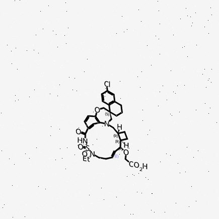 CCN1CC/C=C/[C@H](OCC(=O)O)[C@@H]2CC[C@H]2CN2C[C@@]3(CCCc4cc(Cl)ccc43)COc3ccc(cc32)C(=O)NS1(=O)=O